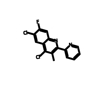 Cc1c(-c2ccccn2)nc2cc(F)c(Cl)cc2c1Cl